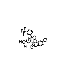 CN(Cc1ccc(Cl)cc1)C(=O)[C@@H]1C[C@@H](O)CN1C(=O)c1cccc(C(F)(F)F)c1